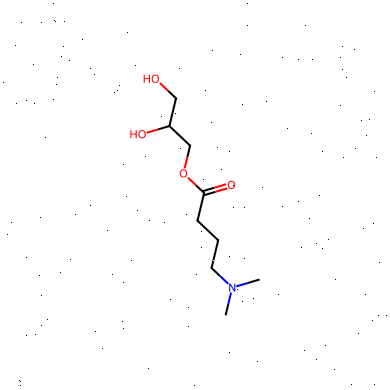 CN(C)CCCC(=O)OCC(O)CO